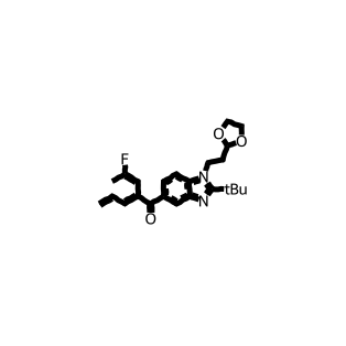 C=C/C=C(\C=C(/C)F)C(=O)c1ccc2c(c1)nc(C(C)(C)C)n2CCC1OCCO1